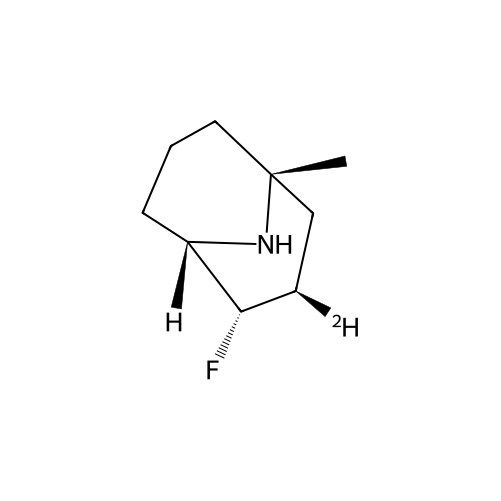 [2H][C@@H]1C[C@@]2(C)CCC[C@H](N2)[C@H]1F